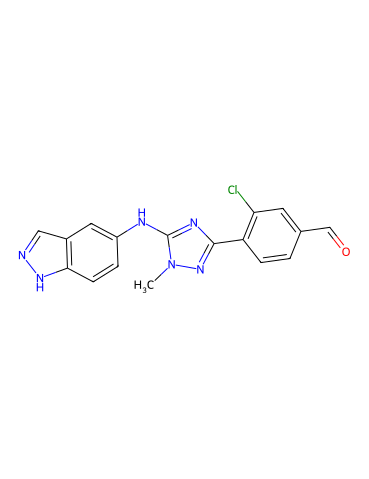 Cn1nc(-c2ccc(C=O)cc2Cl)nc1Nc1ccc2[nH]ncc2c1